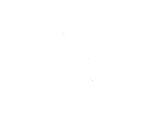 O=C1OC(c2cccc(Cl)c2Cl)=NC1=CN1CCN(c2nc3ccccc3[nH]2)CC1